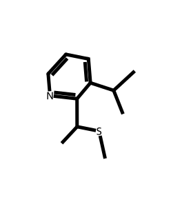 CSC(C)c1ncccc1C(C)C